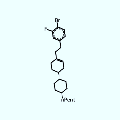 CCCCC[C@H]1CC[C@H](C2CC=C(CCc3ccc(Br)c(F)c3)CC2)CC1